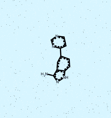 Nc1n[nH]c2ccc(-c3ccncn3)cc12